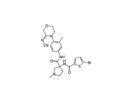 Cc1cc(NC(=O)C2(NC(=O)c3ccc(Br)s3)CCN(C)C2)ccc1N1CCOC/C1=N/C#N